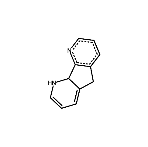 C1=CNC2C(=C1)Cc1cccnc12